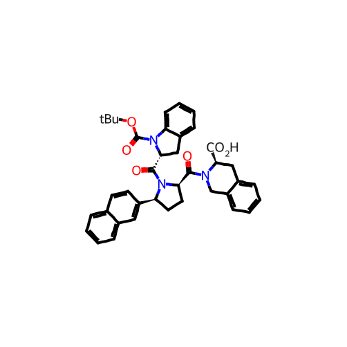 CC(C)(C)OC(=O)N1c2ccccc2C[C@@H]1C(=O)N1[C@@H](C(=O)N2Cc3ccccc3C[C@@H]2C(=O)O)CC[C@H]1c1ccc2ccccc2c1